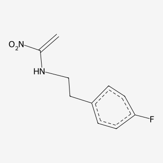 C=C(NCCc1ccc(F)cc1)[N+](=O)[O-]